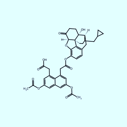 CC(=O)Oc1cc(CC(=O)O)c2c(CC(=O)Oc3ccc4c5c3O[C@H]3C(=O)CC[C@@]6(O)[C@@H](C4)C(CC4CC4)CC[C@]536)cc(OC(C)=O)cc2c1